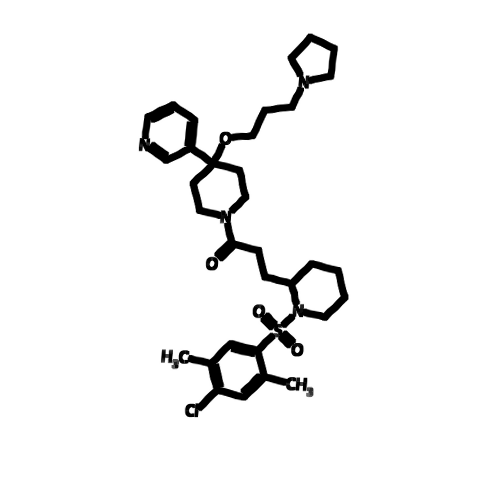 Cc1cc(S(=O)(=O)N2CCCCC2CCC(=O)N2CCC(OCCCN3CCCC3)(c3cccnc3)CC2)c(C)cc1Cl